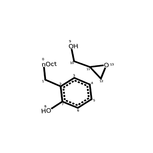 CCCCCCCCCc1ccccc1O.OCC1CO1